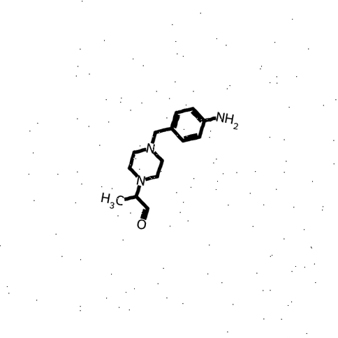 CC(C=O)N1CCN(Cc2ccc(N)cc2)CC1